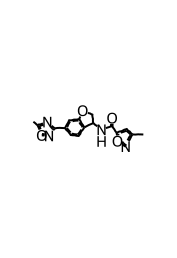 Cc1cc(C(=O)NC2COc3cc(-c4noc(C)n4)ccc32)on1